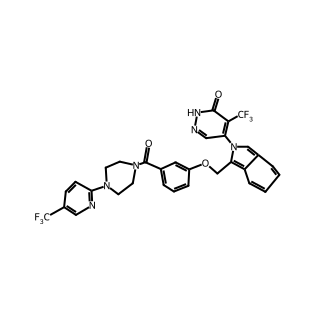 O=C(c1cccc(OCc2c3ccccc3cn2-c2cn[nH]c(=O)c2C(F)(F)F)c1)N1CCN(c2ccc(C(F)(F)F)cn2)CC1